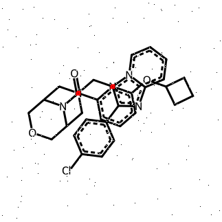 O=C(c1cccc(OC2CCC2)n1)N1C2COCC1CN(Cc1c(-c3ccc(Cl)cc3)nc3ccccn13)C2